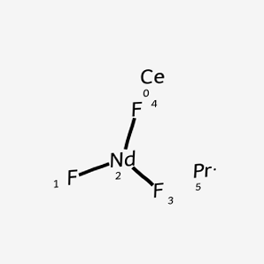 [Ce].[F][Nd]([F])[F].[Pr]